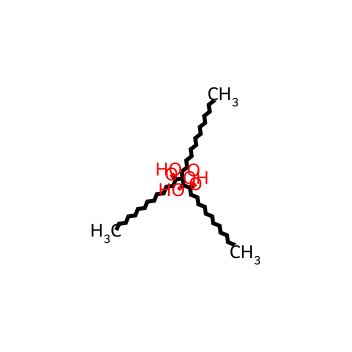 CCCCCCCCCCCCCC(=O)C(O)C(O)(C(=O)CCCCCCCCCCCCC)C(O)C(=O)CCCCCCCCCCCCC